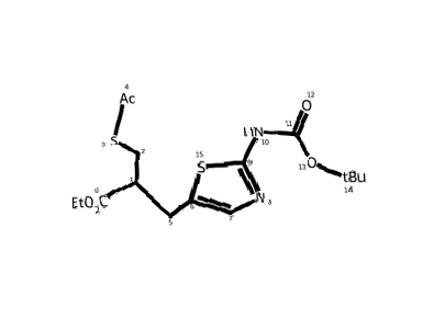 CCOC(=O)C(CSC(C)=O)Cc1cnc(NC(=O)OC(C)(C)C)s1